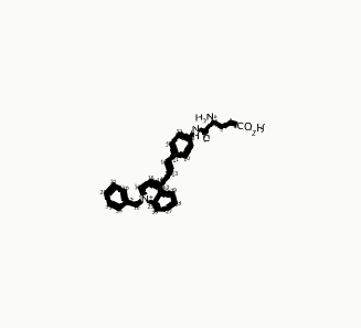 N[C@@H](CCC(=O)O)C(=O)Nc1ccc(C=Cc2cc[n+](Cc3ccccc3)c3ccccc23)cc1